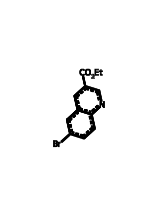 CCOC(=O)c1cnc2ccc(Br)cc2c1